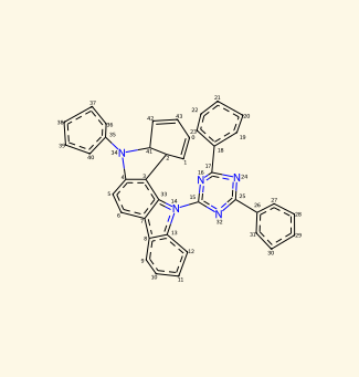 C1=CC2c3c(ccc4c5ccccc5n(-c5nc(-c6ccccc6)nc(-c6ccccc6)n5)c34)N(c3ccccc3)C2C=C1